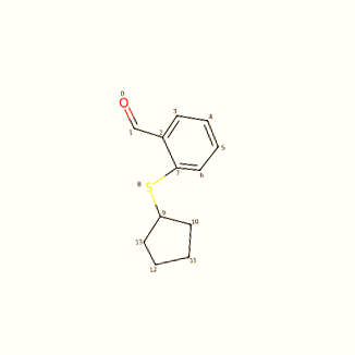 O=Cc1ccccc1SC1CCCC1